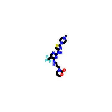 CN1CCN(c2nc(Nc3ncc(C(F)(F)F)c(NCCCN4CCCOC4=O)n3)cs2)CC1